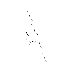 C=COC(C)=O.CCCCCCCCCCCCCCCC